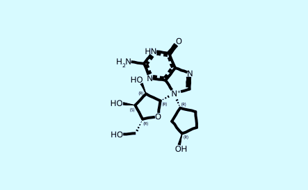 Nc1nc2c(c(=O)[nH]1)N=C[N+]2([C@@H]1CC[C@@H](O)C1)[C@@H]1O[C@H](CO)[C@@H](O)[C@H]1O